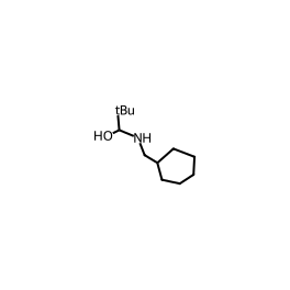 CC(C)(C)C(O)NCC1CCCCC1